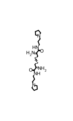 N[C@@H](CSSC[C@H](N)C(=O)NCCCN1CCCC1)C(=O)NCCCN1CCCC1